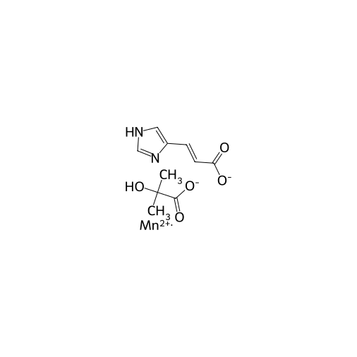 CC(C)(O)C(=O)[O-].O=C([O-])C=Cc1c[nH]cn1.[Mn+2]